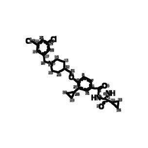 N=S(=O)(NC(=O)c1ccc(OCC2CCN(Cc3cc(Cl)cc(Cl)c3)CC2)c(C2CC2)c1)C1CC1